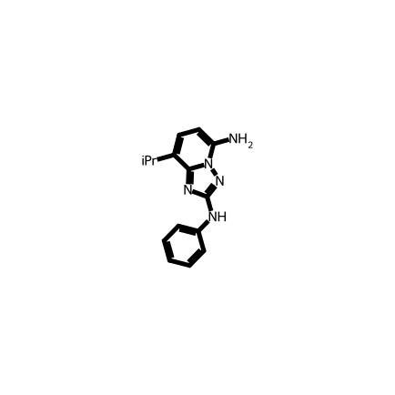 CC(C)c1ccc(N)n2nc(Nc3ccccc3)nc12